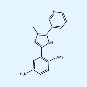 COc1ccc(N)cc1-c1nc(C)c(-c2cccnc2)[nH]1